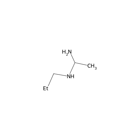 [CH2]CCNC(C)N